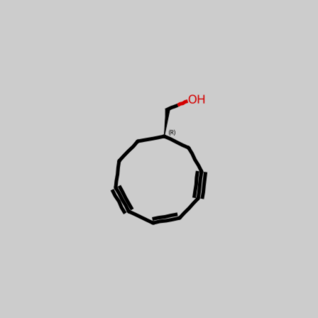 OC[C@H]1CC#CC=CC#CCC1